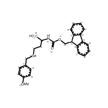 COc1ccc(C[Se]CCC(NC(=O)OCC2c3ccccc3-c3ccccc32)C(=O)O)cc1